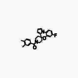 Cc1ccc(C(=O)N2CCC3(CC2)Oc2cc(F)ccc2-n2cccc23)cc1C